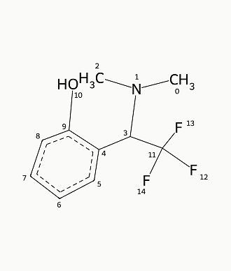 CN(C)C(c1ccccc1O)C(F)(F)F